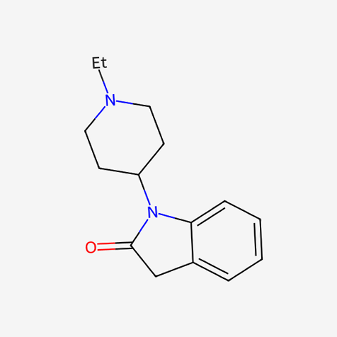 CCN1CCC(N2C(=O)Cc3ccccc32)CC1